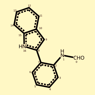 O=CNc1ccccc1-c1cc2ccccc2[nH]1